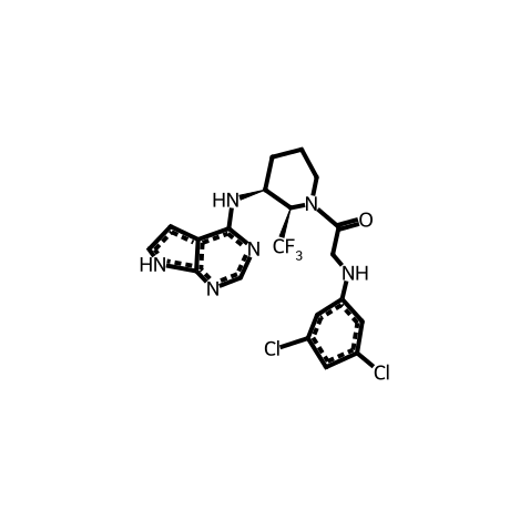 O=C(CNc1cc(Cl)cc(Cl)c1)N1CCC[C@H](Nc2ncnc3[nH]ccc23)[C@@H]1C(F)(F)F